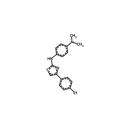 CCc1ccc(-c2csc(Nc3ccc(N(C)C)cc3)n2)cc1